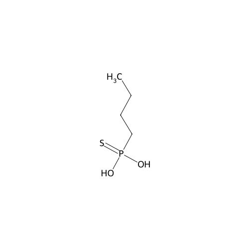 CCCCP(O)(O)=S